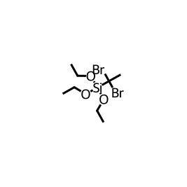 CCO[Si](OCC)(OCC)C(C)(Br)Br